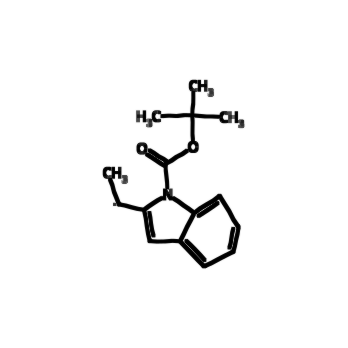 C[CH]c1cc2ccccc2n1C(=O)OC(C)(C)C